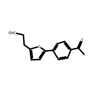 CC(=S)c1ccc(-c2ccc(CCC=O)o2)cc1